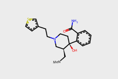 CNC[C@H]1CN(CCc2ccsc2)CC[C@]1(O)c1ccccc1C(N)=O